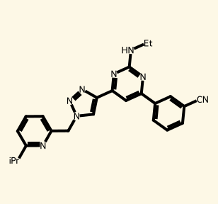 CCNc1nc(-c2cccc(C#N)c2)cc(-c2cn(Cc3cccc(C(C)C)n3)nn2)n1